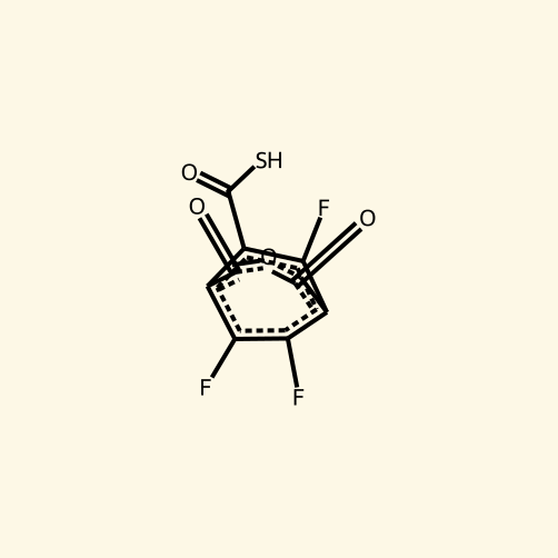 O=C(S)c1c(F)c2c(F)c(F)c1c(=O)oc2=O